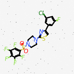 O=S(=O)(c1c(F)c(F)c(F)c(F)c1F)N1CCN(c2nc(-c3cc(F)cc(Cl)c3)cs2)CC1